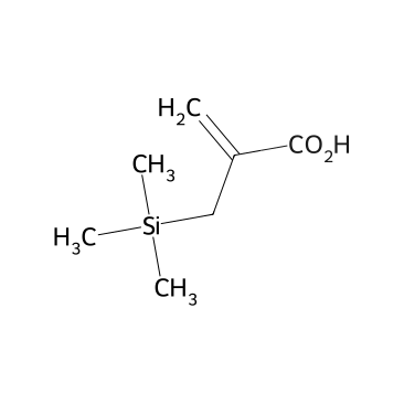 C=C(C[Si](C)(C)C)C(=O)O